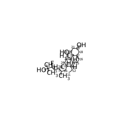 C[C@H](CCC(F)C(C)(C)O)[C@H]1CC[C@H]2[C@@H]3CC=C4C[C@@H](O)C[C@H](O)[C@]4(C)[C@H]3CC[C@]12C